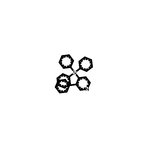 c1ccc(-c2cnccc2[Si](c2ccccc2)(c2ccccc2)c2ccccc2)cc1